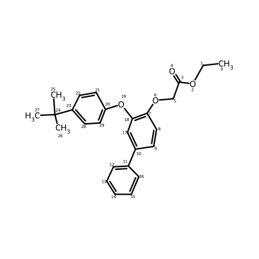 CCOC(=O)COc1ccc(-c2ccccc2)cc1Oc1ccc(C(C)(C)C)cc1